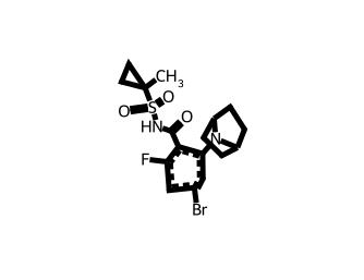 CC1(S(=O)(=O)NC(=O)c2c(F)cc(Br)cc2N2C3CCC2CC3)CC1